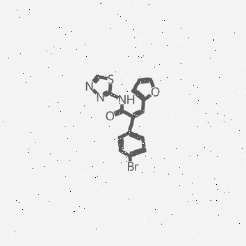 O=C(Nc1nncs1)C(=Cc1ccco1)c1ccc(Br)cc1